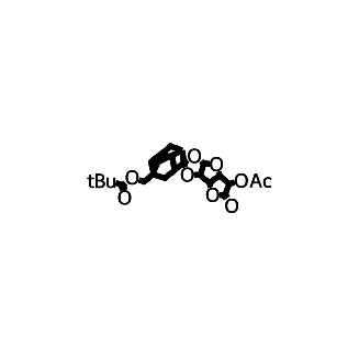 CC(=O)OC1C(=O)OC2C3OC4(OC3OC12)C1CC2CC4CC(COC(=O)C(C)(C)C)(C2)C1